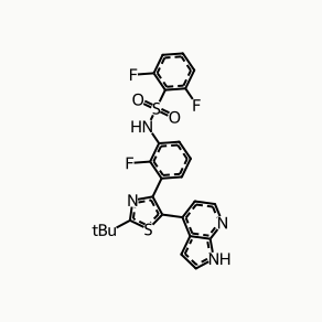 CC(C)(C)c1nc(-c2cccc(NS(=O)(=O)c3c(F)cccc3F)c2F)c(-c2ccnc3[nH]ccc23)s1